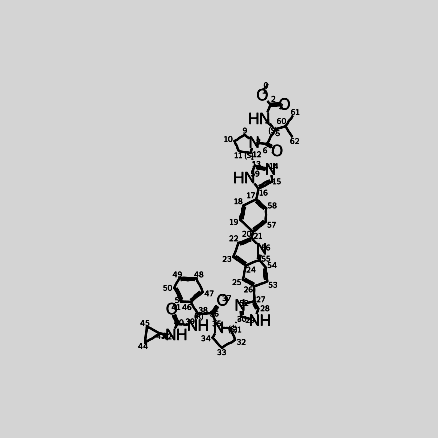 COC(=O)N[C@H](C(=O)N1CCC[C@H]1c1ncc(-c2ccc(-c3ccc4cc(-c5c[nH]c([C@@H]6CCCN6C(=O)[C@H](NC(=O)NC6CC6)c6ccccc6)n5)ccc4n3)cc2)[nH]1)C(C)C